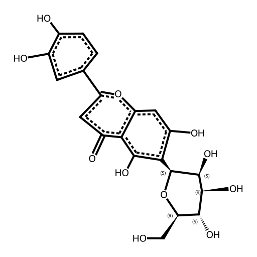 O=c1cc(-c2ccc(O)c(O)c2)oc2cc(O)c([C@@H]3O[C@H](CO)[C@@H](O)[C@H](O)[C@@H]3O)c(O)c12